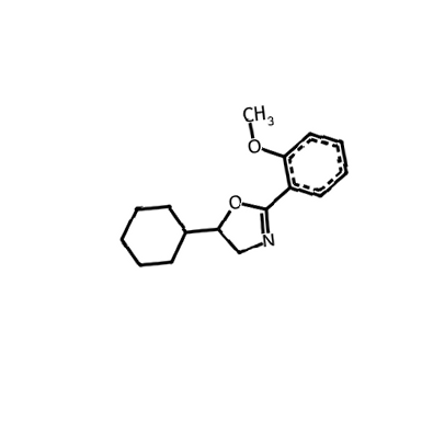 COc1ccccc1C1=NCC(C2CCCCC2)O1